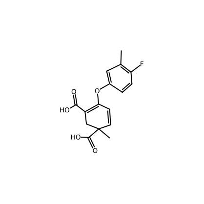 Cc1cc(OC2=C(C(=O)O)CC(C)(C(=O)O)C=C2)ccc1F